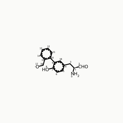 N[C@H](C=O)Cc1ccc(O)c(-c2ccccc2C[O])c1